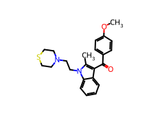 COc1ccc(C(=O)c2c(C)n(CCN3CCSCC3)c3ccccc23)cc1